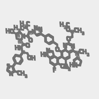 CO[C@@H](C)COc1nc(N(C)[C@@H]2CCNC2)c2cc(C3CC3)c(-c3c(C)c(F)cc4[nH]ncc34)c(OCc3ccc(-c4cn([C@H](C(=O)N5C[C@H](O)C[C@H]5C(=O)N[C@@H](CO)c5ccc(-c6scnc6C)cc5)C(C)C)nn4)cc3)c2n1